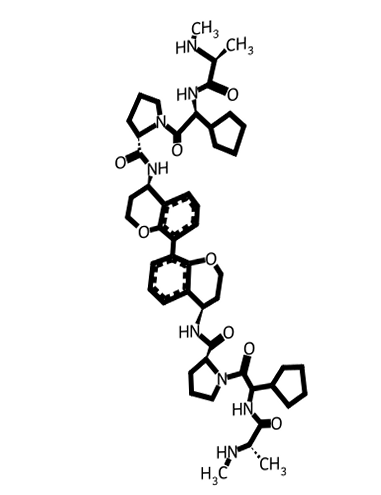 CN[C@@H](C)C(=O)NC(C(=O)N1CCC[C@H]1C(=O)N[C@@H]1CCOc2c(-c3cccc4c3OCC[C@H]4NC(=O)[C@@H]3CCCN3C(=O)[C@@H](NC(=O)[C@H](C)NC)C3CCCC3)cccc21)C1CCCC1